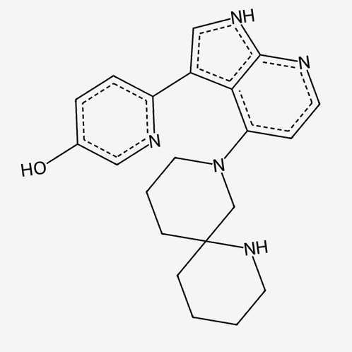 Oc1ccc(-c2c[nH]c3nccc(N4CCCC5(CCCCN5)C4)c23)nc1